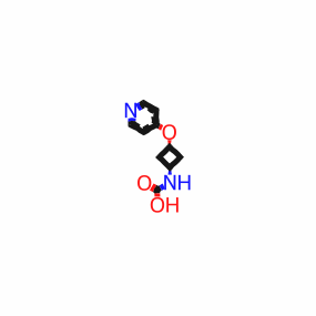 O=C(O)N[C@H]1C[C@@H](Oc2ccncc2)C1